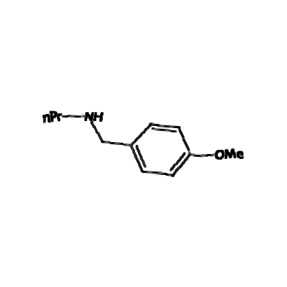 CCCNCc1ccc(OC)cc1